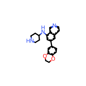 c1cc2cc(-c3ccc4c(c3)OCCO4)cc(NC3CCNCC3)c2cn1